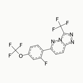 Fc1cc(OC(F)(F)F)ccc1-c1ccc2nnc(C(F)(F)F)n2n1